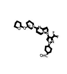 O=CC1CCC(n2cc(N3CC=C4N=C(N5CCC[C@H](OC6CCCCO6)C5)C=CN43)c(C(F)F)n2)CC1